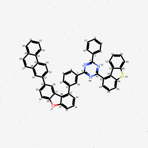 c1ccc(-c2nc(-c3cccc(-c4cccc5oc6ccc(-c7ccc8c(ccc9ccccc98)c7)cc6c45)c3)nc(-c3cccc4sc5ccccc5c34)n2)cc1